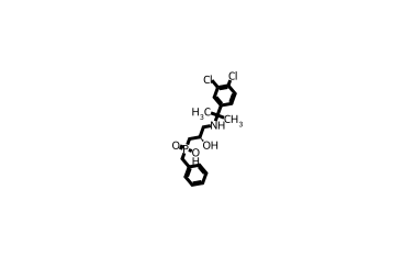 CC(C)(NC[C@H](O)CP(=O)(O)Cc1ccccc1)c1ccc(Cl)c(Cl)c1